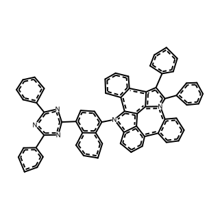 c1ccc(-c2nc(-c3ccccc3)nc(-c3ccc(-n4c5cccc6c7ccccc7n7c(-c8ccccc8)c(-c8ccccc8)c8c9ccccc9c4c(c65)c87)c4ccccc34)n2)cc1